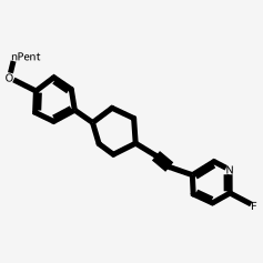 CCCCCOc1ccc(C2CCC(C#Cc3ccc(F)nc3)CC2)cc1